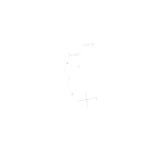 CC(C)(N)CC(C)(C)OCCC(C)(C)/N=C/C=N